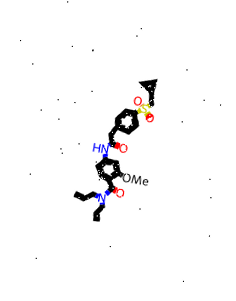 C=CCN(CC=C)C(=O)c1ccc(NC(=O)Cc2ccc(S(=O)(=O)CC3CC3)cc2)cc1OC